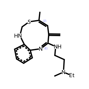 C=C1/C=C(/C)SCNc2ccccc2/N=C\1NCCN(C)CC